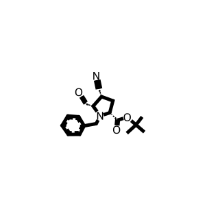 CC(C)(C)OC(=O)[C@H]1C[C@@H](C#N)[C@@H](C=O)N1Cc1ccccc1